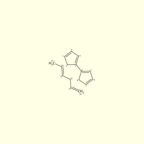 C1=CCC(C2=CC=CC2)=C1.C=CCC=CC